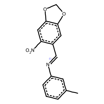 Cc1cccc(/N=C/c2cc3c(cc2[N+](=O)[O-])OCO3)c1